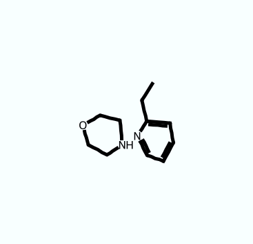 C1COCCN1.CCc1ccccn1